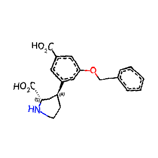 O=C(O)c1cc(OCc2ccccc2)cc([C@H]2CCN[C@@H]2C(=O)O)c1